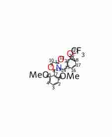 COc1cccc(OC)c1C1OCC(=O)N1Cc1cccc(OC(F)(F)F)c1